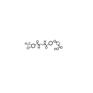 Cc1cc(C(=O)NCCNC(=O)c2ccc(O[C@@H]3CC[C@@H](C(=O)O)C3)cc2)ccc1Cl